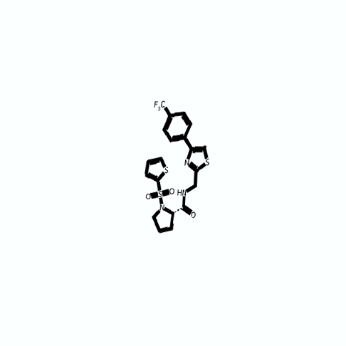 O=C(NCc1nc(-c2ccc(C(F)(F)F)cc2)cs1)[C@@H]1CCCN1S(=O)(=O)c1cccs1